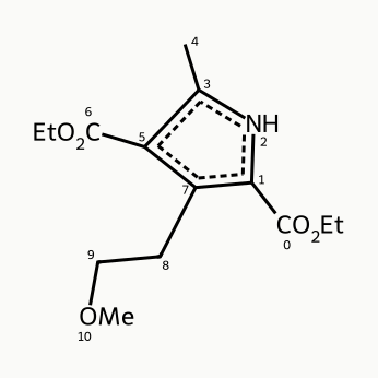 CCOC(=O)c1[nH]c(C)c(C(=O)OCC)c1CCOC